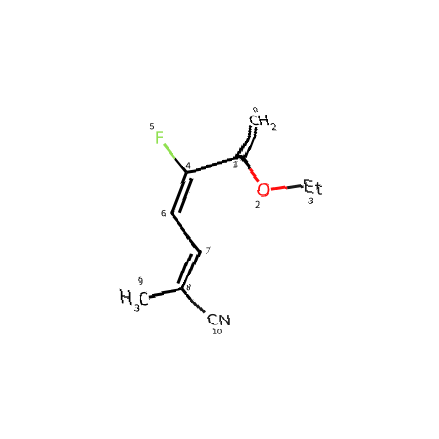 C=C(OCC)/C(F)=C\C=C(/C)C#N